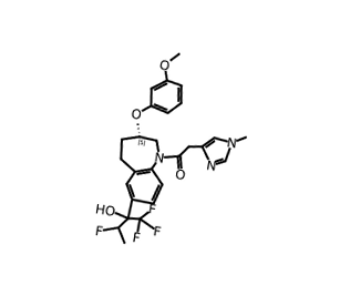 COc1cccc(O[C@H]2CCc3cc(C(O)(C(C)F)C(F)(F)F)ccc3N(C(=O)Cc3cn(C)cn3)C2)c1